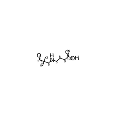 CC(C)(C=O)CNCCCC(=O)O